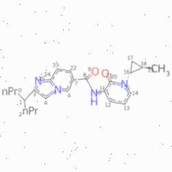 CCCC(CCC)c1cn2cc(C(=O)Nc3cccn([C@@H]4C[C@H]4C)c3=O)ccc2n1